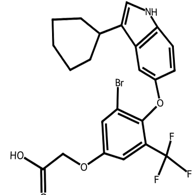 O=C(O)COc1cc(Br)c(Oc2ccc3[nH]cc(C4CCCCC4)c3c2)c(C(F)(F)F)c1